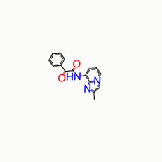 Cc1cn2cccc(NC(=O)C(=O)c3ccccc3)c2n1